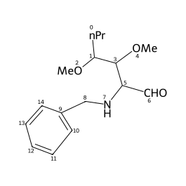 CCCC(OC)C(OC)C(C=O)NCc1ccccc1